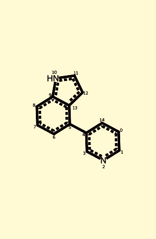 c1cncc(-c2cccc3[nH]ccc23)c1